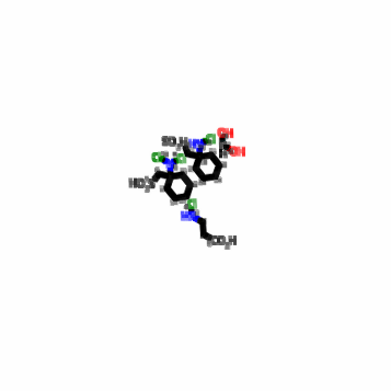 O=C(O)CCNCl.O=S(=O)(O)CC1(N(Cl)Cl)CCCCC1.O=S(=O)(O)CC1(NCl)CCCCC1.OBO